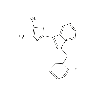 Cc1nc(-c2nn(Cc3ccccc3F)c3ccccc23)sc1C